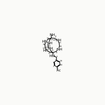 CC(=O)c1ccc(CNC23CNCCNCC(N)(CNCCNC2)CNCCNC3)cc1